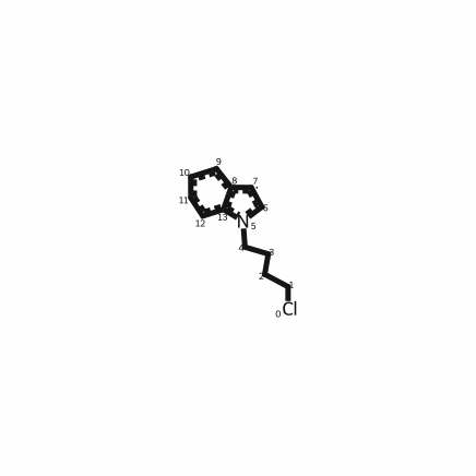 ClCCCCn1c[c]c2ccccc21